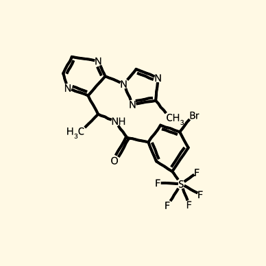 Cc1ncn(-c2nccnc2C(C)NC(=O)c2cc(Br)cc(S(F)(F)(F)(F)F)c2)n1